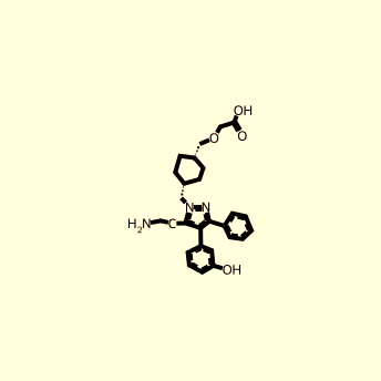 NCCc1c(-c2cccc(O)c2)c(-c2ccccc2)nn1C[C@H]1CC[C@@H](COCC(=O)O)CC1